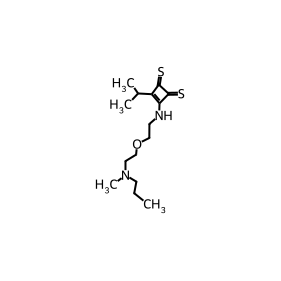 CCCN(C)CCOCCNc1c(C(C)C)c(=S)c1=S